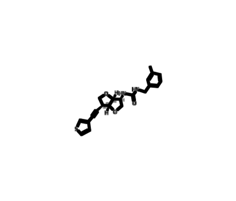 Cc1cccc(CNC(=O)N[C@H]2CO[C@H]3[C@@H]2OC[C@@H]3C#Cc2ccsc2)c1